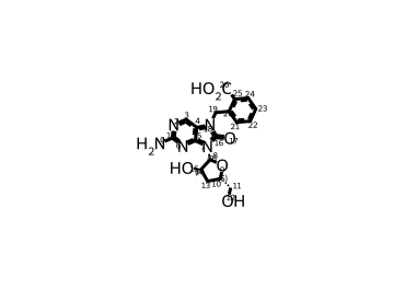 Nc1ncc2c(n1)n([C@@H]1O[C@H](CO)C[C@H]1O)c(=O)n2Cc1ccccc1C(=O)O